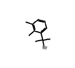 Cc1cccc(C(C)(C)Br)c1C